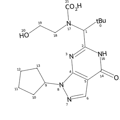 CC(C)(C)C(c1nc2c(cnn2C2CCCC2)c(=O)[nH]1)N(CCO)C(=O)O